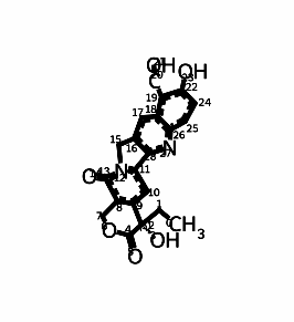 CC[C@@]1(O)C(=O)OCc2c1cc1n(c2=O)Cc2cc3c(CO)c(O)ccc3nc2-1